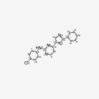 Clc1ccc(Nc2nccc(-c3cnc(-c4ccccc4)o3)n2)cc1